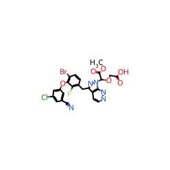 COC(=O)C(OCC(=O)O)n1nc(Cc2ccc(Br)c(Oc3cc(Cl)cc(C#N)c3)c2F)c2ccnnc21